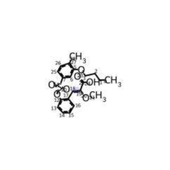 CCCCOc1cc(S(=O)(=O)Oc2ccccc2/C=C(\OC)C(=O)O)ccc1C